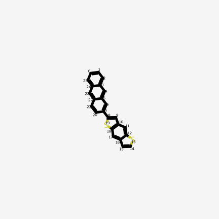 c1ccc2cc3cc(-c4cc5cc6sccc6cc5s4)ccc3cc2c1